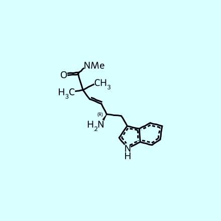 CNC(=O)C(C)(C)C=C[C@H](N)Cc1c[nH]c2ccccc12